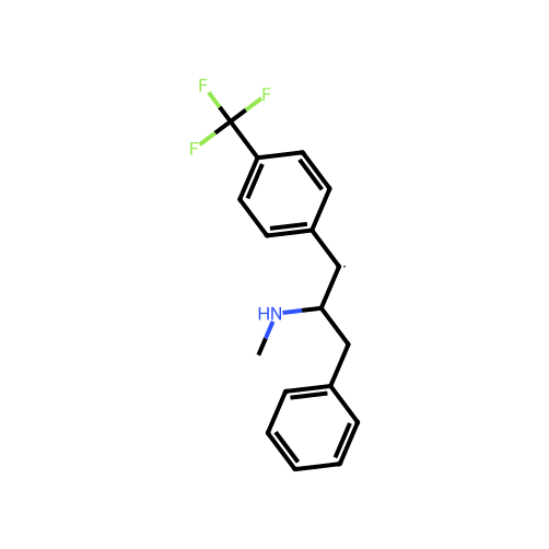 CNC([CH]c1ccc(C(F)(F)F)cc1)Cc1ccccc1